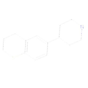 c1cc2c(cc1C1CC[N]CC1)CCCS2